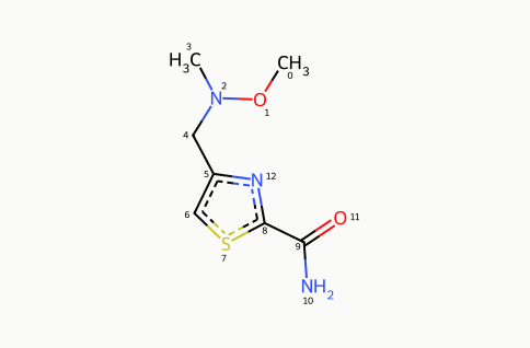 CON(C)Cc1csc(C(N)=O)n1